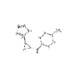 NC1CCC(N[C@@H]2C[C@H]2c2cncs2)CC1